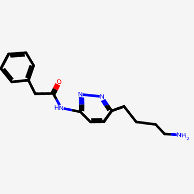 NCCCCc1ccc(NC(=O)Cc2ccccc2)nn1